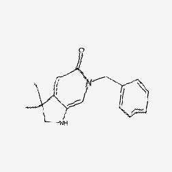 CC1(C)CNc2cn(Cc3ccccc3)c(=O)cc21